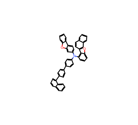 c1ccc2c(-c3ccc(-c4ccc(N(c5ccc6c(c5)oc5ccccc56)c5cccc6oc7c8ccccc8ccc7c56)cc4)cc3)cccc2c1